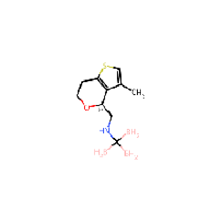 BC(B)(B)NC[C@H]1OCCc2scc(C)c21